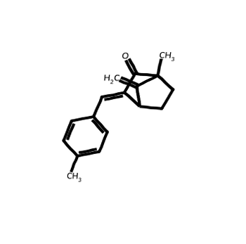 C=C1C2CCC1(C)C(=O)/C2=C/c1ccc(C)cc1